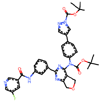 CC(C)(C)OC(=O)N(c1ccc(-c2cnn(C(=O)OC(C)(C)C)c2)cc1)c1nc(-c2cccc(NC(=O)c3cncc(F)c3)c2)nc2c1COC2